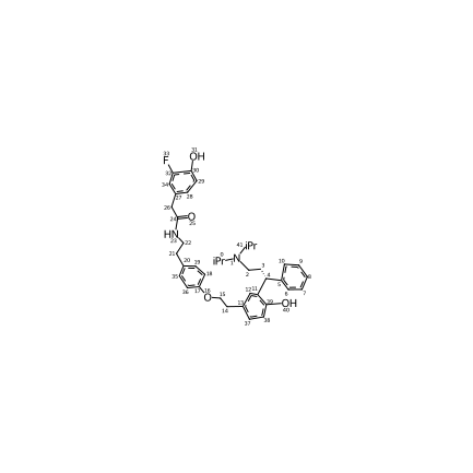 CC(C)N(CC[C@H](c1ccccc1)c1cc(CCOc2ccc(CCNC(=O)Cc3ccc(O)c(F)c3)cc2)ccc1O)C(C)C